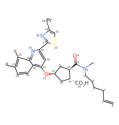 C=CCCCCN(C)C(=O)[C@@H]1C[C@H](Oc2cc(-c3nc(C(C)C)cs3)nc3c(C)c(C)ccc23)C[C@H]1C(=O)O